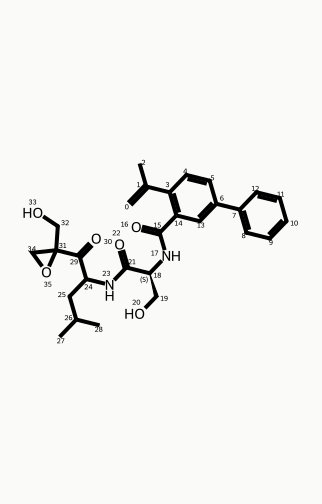 C=C(C)c1ccc(-c2ccccc2)cc1C(=O)N[C@@H](CO)C(=O)NC(CC(C)C)C(=O)C1(CO)CO1